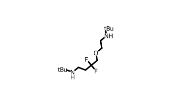 CC(C)(C)NCCOCC(F)(F)CCNC(C)(C)C